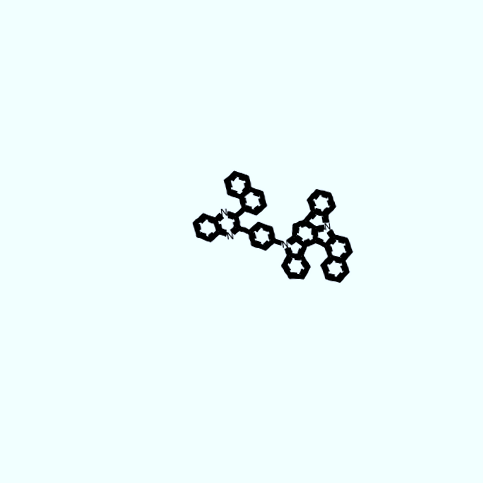 c1ccc2c(-c3nc4ccccc4nc3-c3ccc(-n4c5ccccc5c5c6c7c8ccccc8ccc7n7c8ccccc8c(cc54)c67)cc3)cccc2c1